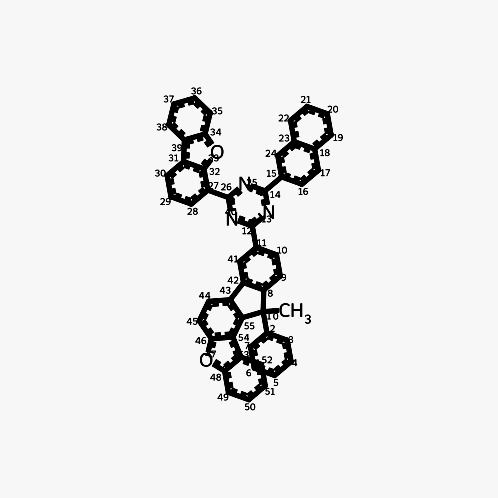 CC1(c2ccccc2)c2ccc(-c3nc(-c4ccc5ccccc5c4)nc(-c4cccc5c4oc4ccccc45)n3)cc2-c2ccc3oc4ccccc4c3c21